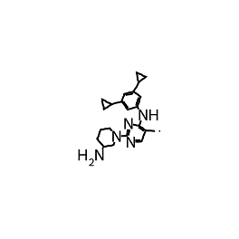 [CH2]c1cnc(N2CCC[C@H](N)C2)nc1Nc1cc(C2CC2)cc(C2CC2)c1